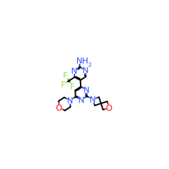 Nc1ncc(-c2cc(N3CCOCC3)nc(N3CC4(COC4)C3)n2)c(C(F)(F)F)n1